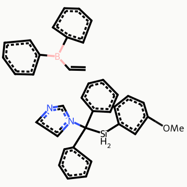 C=CB(c1ccccc1)c1ccccc1.COc1cccc([SiH2]C(c2ccccc2)(c2ccccc2)n2ccnc2)c1